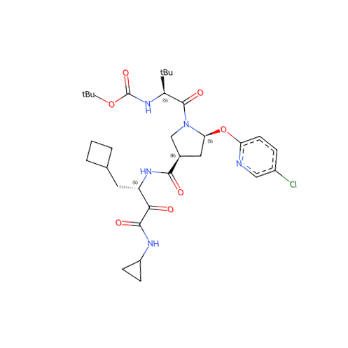 CC(C)(C)OC(=O)N[C@H](C(=O)N1C[C@H](C(=O)N[C@@H](CC2CCC2)C(=O)C(=O)NC2CC2)C[C@@H]1Oc1ccc(Cl)cn1)C(C)(C)C